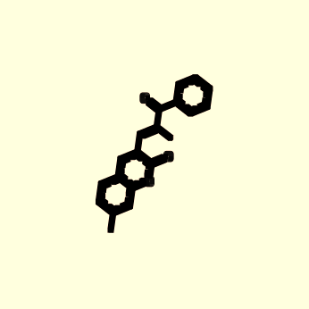 C/C(=C\c1cc2ccc(C)cc2oc1=O)C(=O)c1ccccc1